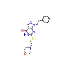 O=c1[nH]c(SCCN2CCOCC2)nc2c1cnn2CCc1ccccc1